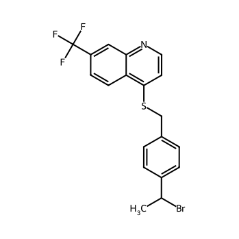 CC(Br)c1ccc(CSc2ccnc3cc(C(F)(F)F)ccc23)cc1